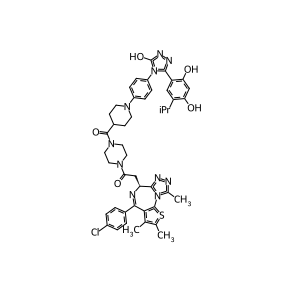 Cc1sc2c(c1C)C(c1ccc(Cl)cc1)=N[C@@H](CC(=O)N1CCN(C(=O)C3CCN(c4ccc(-n5c(O)nnc5-c5cc(C(C)C)c(O)cc5O)cc4)CC3)CC1)c1nnc(C)n1-2